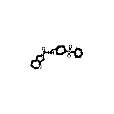 O=C(NCc1ccc(S(=O)(=O)c2ccccc2)cc1)N1Cc2cccnc2C1